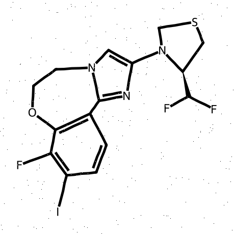 Fc1c(I)ccc2c1OCCn1cc(N3CSC[C@H]3C(F)F)nc1-2